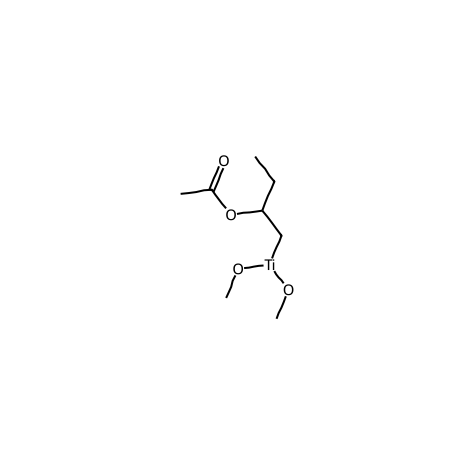 CCC([CH2][Ti]([O]C)[O]C)OC(C)=O